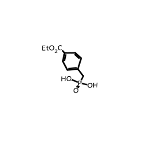 CCOC(=O)c1ccc(CP(=O)(O)O)cc1